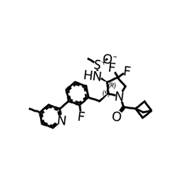 Cc1ccnc(-c2cccc(C[C@H]3[C@@H](N[S+](C)[O-])C(F)(F)CN3C(=O)C34CC(C3)C4)c2F)c1